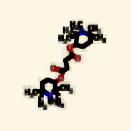 CN1C(C)(C)CCC(OC(=O)CCC(=O)OC2CCC(C)(C)N(C)C2(C)C)C1(C)C